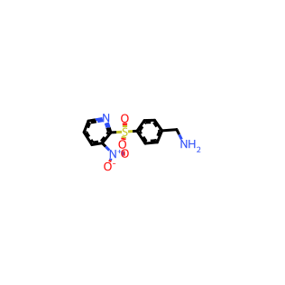 NCc1ccc(S(=O)(=O)c2ncccc2[N+](=O)[O-])cc1